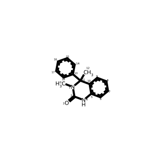 CN1C(=O)Nc2ccccc2C1(C)c1ccccc1